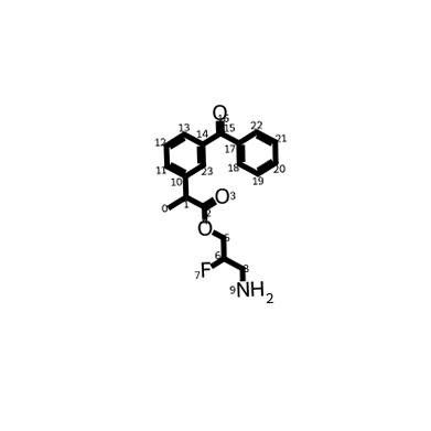 CC(C(=O)OCC(F)CN)c1cccc(C(=O)c2ccccc2)c1